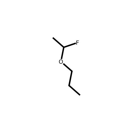 CCCOC(C)F